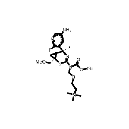 COC[C@]12CC1[C@@](C)(c1cc(N)cnc1F)N=C(N(COCC[Si](C)(C)C)C(=O)OC(C)(C)C)S2